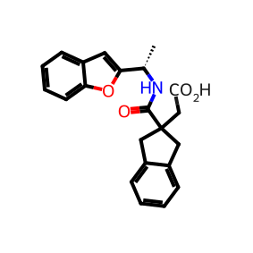 C[C@H](NC(=O)C1(CC(=O)O)Cc2ccccc2C1)c1cc2ccccc2o1